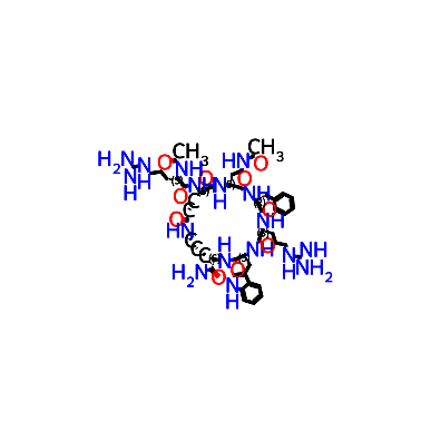 CC(=O)NCC[C@@H]1NC(=O)[C@@H](NC(=O)[C@H](CCCNC(=N)N)NC(C)=O)CCC(=O)NCCC[C@@H](C(N)=O)NC(=O)[C@H](Cc2c[nH]c3ccccc23)NC(=O)[C@H](CCCNC(=N)N)NC(=O)[C@@H](Cc2ccccc2)NC1=O